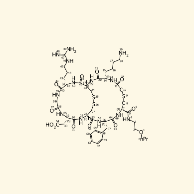 CCCOCCNC(=O)[C@@H]1CSCC(=O)N[C@@H](CCCCN)C(=O)N[C@H]2CSSC[C@H](NC(=O)[C@H](CC(=O)O)NC(=O)CNC(=O)[C@H](CCCNC(=N)N)NC2=O)C(=O)N[C@@H](Cc2ccccc2)C(=O)N1